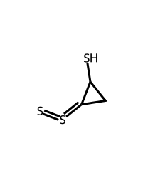 S=S=C1CC1S